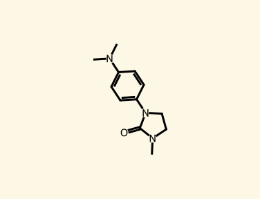 CN1CCN(c2ccc(N(C)C)cc2)C1=O